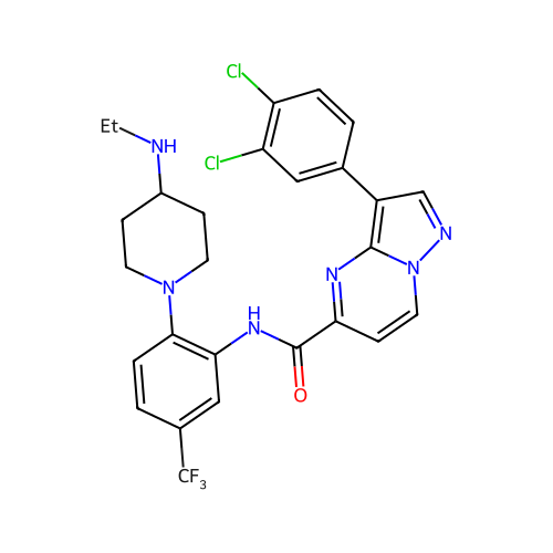 CCNC1CCN(c2ccc(C(F)(F)F)cc2NC(=O)c2ccn3ncc(-c4ccc(Cl)c(Cl)c4)c3n2)CC1